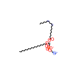 CCCCC/C=C\C/C=C\CCCCCCCC(=O)OC[C@H](COP(=O)([O-])OCC[N+](C)(C)C)OC(=O)CCCCCCCCCCCCCCCCC